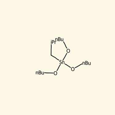 CCCC[O][Sn]([CH2]C(C)C)([O]CCCC)[O]CCCC